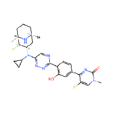 Cn1cc(F)c(-c2ccc(-c3ncc(N(C4CC4)[C@H]4C[C@@H]5CCC[C@@](C)(N5)[C@H]4F)nn3)c(O)c2)nc1=O